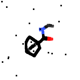 CSNC(=O)C12CCC(CC1)CC2